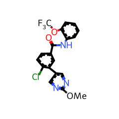 COc1ncc(-c2cc(C(=O)Nc3ccccc3OC(F)(F)F)ccc2Cl)cn1